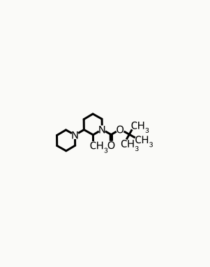 CC1C(N2CCCCC2)CCCN1C(=O)OC(C)(C)C